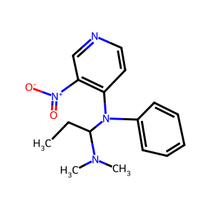 CCC(N(C)C)N(c1ccccc1)c1ccncc1[N+](=O)[O-]